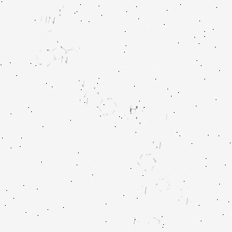 C=C(Nc1cccc(CS(=O)(=O)N2CC[C@H](Nc3cccc(-c4sc(C(=O)O)c(OCC(=O)O)c4Cl)c3)CC2(C)C)c1)N1CCC(n2c(=O)n(C3CCC(=O)NC3=O)c3ccccc32)CC1